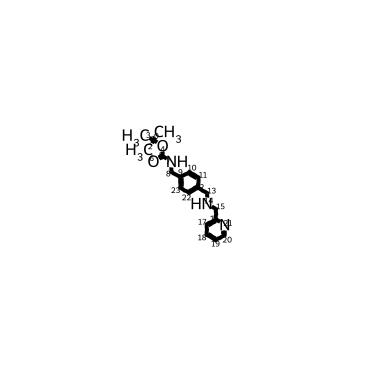 CC(C)(C)OC(=O)NCc1ccc(CNCc2ccccn2)cc1